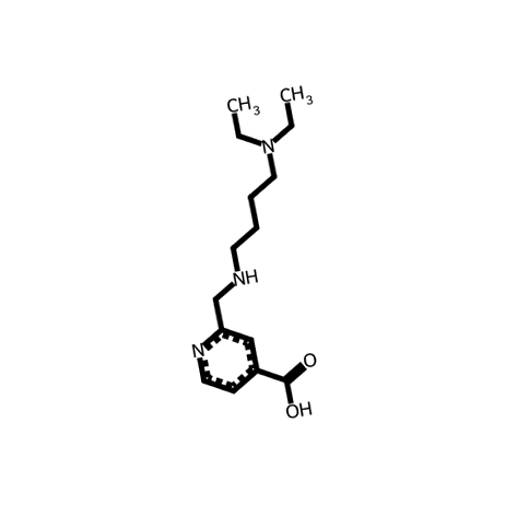 CCN(CC)CCCCNCc1cc(C(=O)O)ccn1